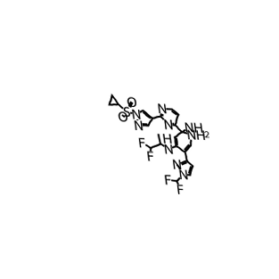 CC(NC1=CC(N)(c2ccnc(-c3cnn(S(=O)(=O)C4CC4)c3)n2)NC=C1c1ccn(C(F)F)n1)C(F)F